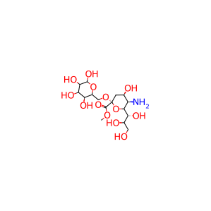 COC(=O)[C@@]1(OCC2OC(O)C(O)C(O)[C@@H]2O)C[C@@H](O)[C@@H](N)C([C@H](O)[C@H](O)CO)O1